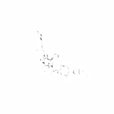 Cc1ccc([C@H]2CCc3nn(C45CC(C#N)(C4)C5)c(=O)n32)cc1